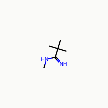 CNC(=N)C(C)(C)C